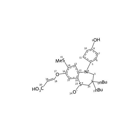 CCCCC1(CCCC)CN(c2ccc(O)cc2)c2cc(SC)c(O/C=C/C(=O)O)cc2[S+]([O-])C1